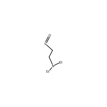 CCN(CC)CC[S+]=O